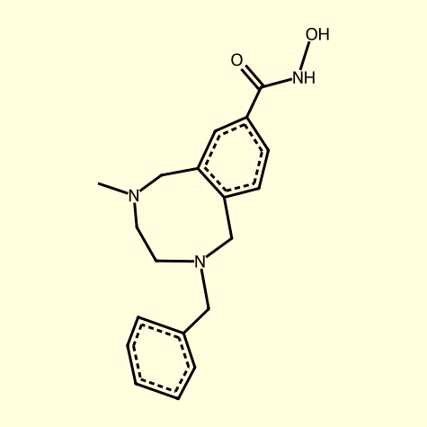 CN1CCN(Cc2ccccc2)Cc2ccc(C(=O)NO)cc2C1